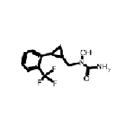 NC(=O)N(O)CC1CC1c1ccccc1C(F)(F)F